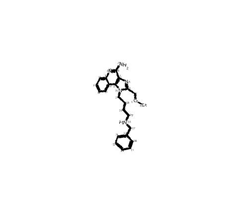 CCOCc1nc2c(N)nc3ccccc3c2n1CCCCNCc1c[c]ccc1